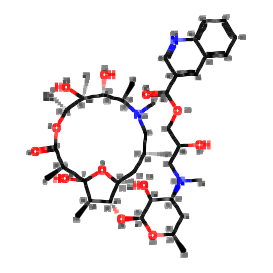 CC[C@H]1OC(=O)[C@H](C)C2(O)O[C@@](C)(C[C@@H](C)CN(C)[C@H](C)[C@@H](O)[C@]1(C)O)[C@H](O[C@@H]1O[C@H](C)C[C@H](N(C)CC(O)COC(=O)c3cnc4ccccc4c3)C1O)[C@H]2C